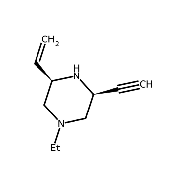 C#C[C@H]1CN(CC)C[C@@H](C=C)N1